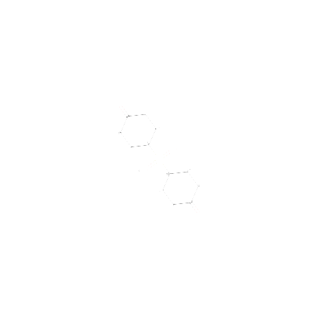 O=C1CCC(S(=O)(=O)C2CCC(=O)CC2)CC1